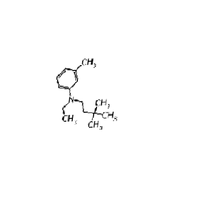 CCN(CCC(C)(C)C)c1cccc(C)c1